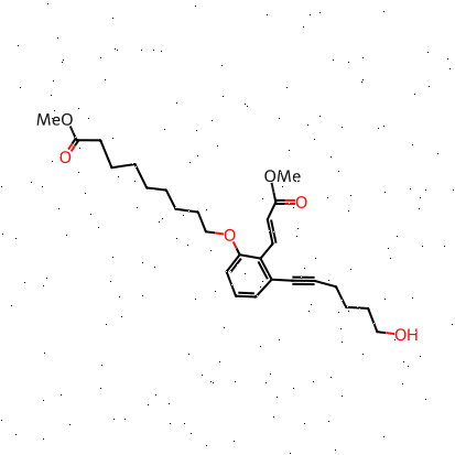 COC(=O)/C=C/c1c(C#CCCCCO)cccc1OCCCCCCCCC(=O)OC